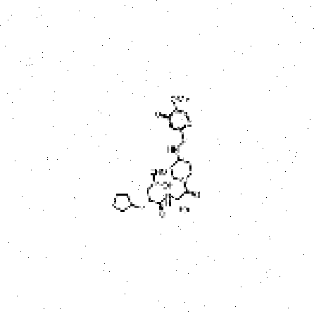 COc1coc(CNC2CCN(C(=O)[C@@H](NC(=O)[C@H](CC3CCCC3)CN(O)C=O)C(C)(C)C)CC2)cc1=O